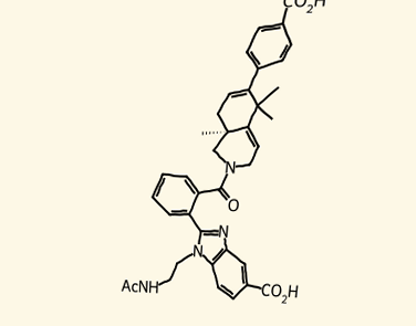 CC(=O)NCCn1c(-c2ccccc2C(=O)N2CC=C3C(C)(C)C(c4ccc(C(=O)O)cc4)=CC[C@]3(C)C2)nc2cc(C(=O)O)ccc21